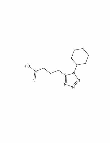 OC(=S)CCCc1nnnn1C1CCCCC1